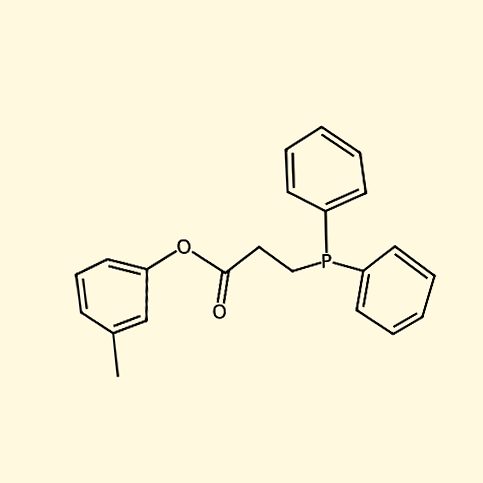 Cc1cccc(OC(=O)CCP(c2ccccc2)c2ccccc2)c1